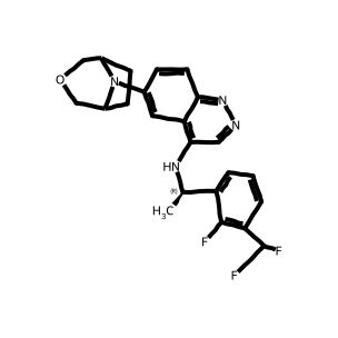 C[C@@H](Nc1cnnc2ccc(N3C4CCC3COC4)cc12)c1cccc(C(F)F)c1F